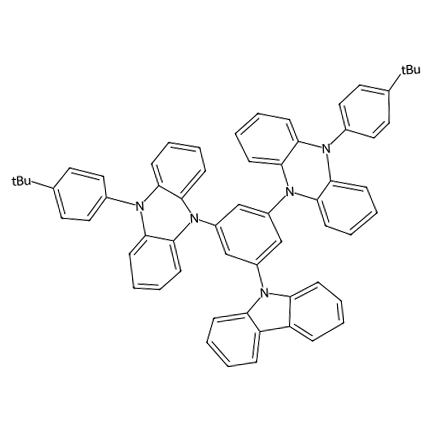 CC(C)(C)c1ccc(N2c3ccccc3N(c3cc(N4c5ccccc5N(c5ccc(C(C)(C)C)cc5)c5ccccc54)cc(-n4c5ccccc5c5ccccc54)c3)c3ccccc32)cc1